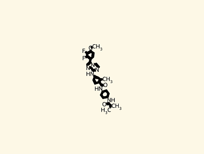 COc1ccc(-c2cnc3c(Nc4ccc(C(=O)NC5CCC(NC(=O)C(C)C)CC5)c(C)c4)nccn23)c(F)c1F